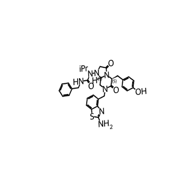 CC(C)N(C(=O)NCc1ccccc1)N1CC(=O)N2[C@@H](Cc3ccc(O)cc3)C(=O)N(Cc3cccc4sc(N)nc34)C[C@@H]21